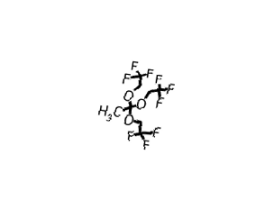 CC(OCC(F)(F)F)(OCC(F)(F)F)OCC(F)(F)F